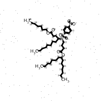 CCCCCCCCC(CCC(=O)OCCCCCCC)N(CCCC(=O)OC(CCCCCCC)CCCCCCC)S(=O)(=O)c1ccc([N+](=O)[O-])cc1